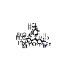 CC/N=c1/cc2oc3cc(NCC)c(C)cc3c(-c3ccccc3C(=O)OCC)c-2cc1C.Cl.Cl